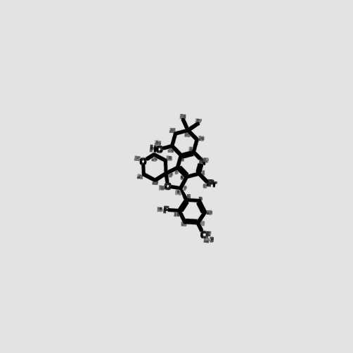 CC(C)c1nc2c(c3c1[C@@H](c1ccc(C(F)(F)F)cc1F)OC31CCOCC1)C(O)CC(C)(C)C2